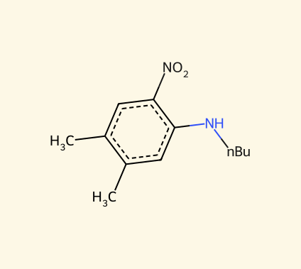 CCCCNc1cc(C)c(C)cc1[N+](=O)[O-]